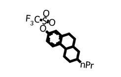 CCCC1CCC2c3ccc(OS(=O)(=O)C(F)(F)F)cc3CCC2C1